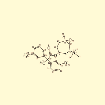 C[N+](C)(C)C1C[C@H](OC(=O)C(O)(c2cccc(C(F)(F)F)c2)c2cccc(C(F)(F)F)c2)CC[C@H]2OC12